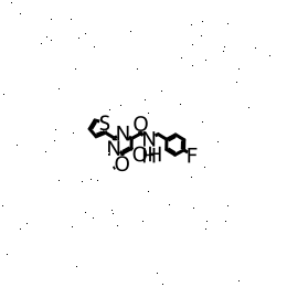 COc1nc(-c2cccs2)nc(C(=O)NCc2ccc(F)cc2)c1O